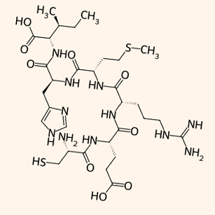 CC[C@H](C)[C@H](NC(=O)[C@H](Cc1c[nH]cn1)NC(=O)[C@H](CCSC)NC(=O)[C@H](CCCNC(=N)N)NC(=O)[C@H](CCC(=O)O)NC(=O)[C@@H](N)CS)C(=O)O